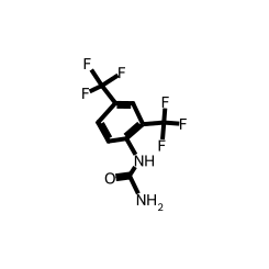 NC(=O)Nc1ccc(C(F)(F)F)cc1C(F)(F)F